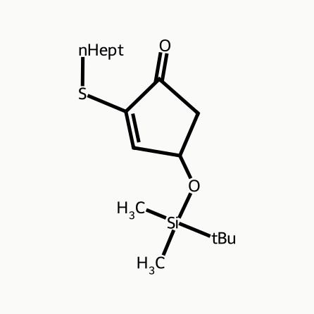 CCCCCCCSC1=CC(O[Si](C)(C)C(C)(C)C)CC1=O